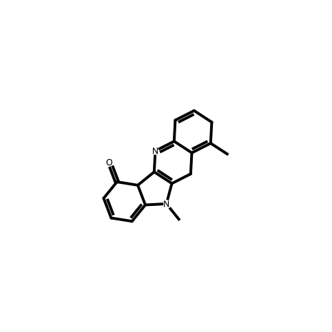 CC1=C2CC3=C(N=C2C=CC1)C1C(=O)C=CC=C1N3C